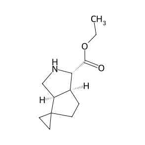 CCOC(=O)[C@H]1NC[C@H]2[C@@H]1CCC21CC1